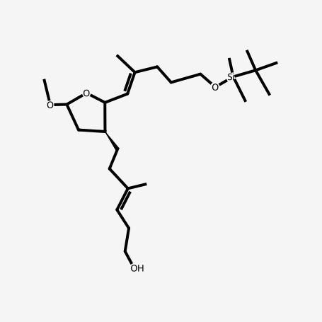 COC1C[C@H](CC/C(C)=C/CCO)C(/C=C(\C)CCCO[Si](C)(C)C(C)(C)C)O1